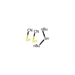 CCC[CH2][Sn][CH2]CCC.N#CS.N#CS